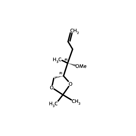 C=CC[C@@](C)(OC)[C@H]1COC(C)(C)O1